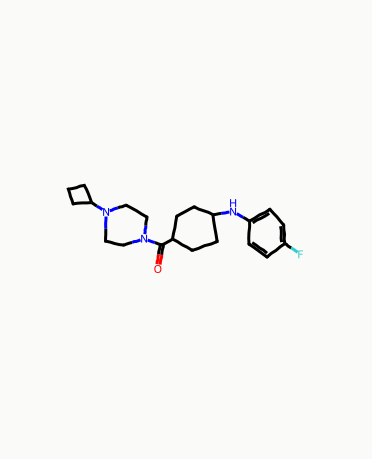 O=C(C1CCC(Nc2ccc(F)cc2)CC1)N1CCN(C2CCC2)CC1